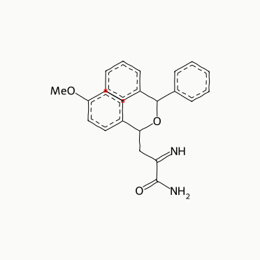 COc1ccc(C(CC(=N)C(N)=O)OC(c2ccccc2)c2ccccc2)cc1